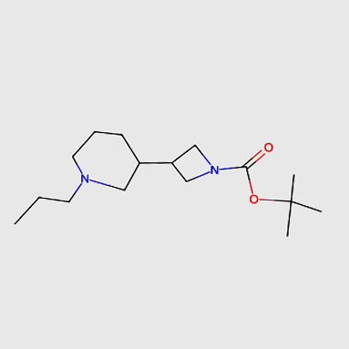 CCCN1CCCC(C2CN(C(=O)OC(C)(C)C)C2)C1